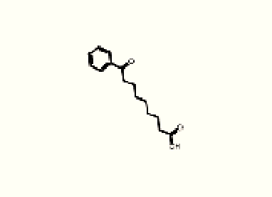 O=C(O)CCCCCCCC(=O)c1ccccc1